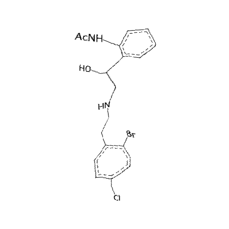 CC(=O)Nc1ccccc1C(O)CNCCc1ccc(Cl)cc1Br